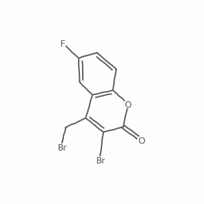 O=c1oc2ccc(F)cc2c(CBr)c1Br